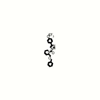 O=C(N1CCC=CC1COCc1ccccc1)n1cc(-c2ccc(OC(F)(F)F)cc2)nn1